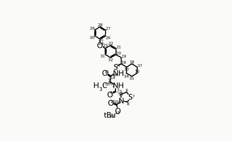 C[C@@H](NC(=O)[C@@H]1CSCN1C(=O)OC(C)(C)C)C(=O)NSC(Cc1ccc(Oc2ccccc2)cc1)C1CCCCC1